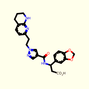 O=C(O)CC(NC(=O)c1cnn(CCc2ccc3c(n2)NCCC3)c1)c1ccc2c(c1)OCO2